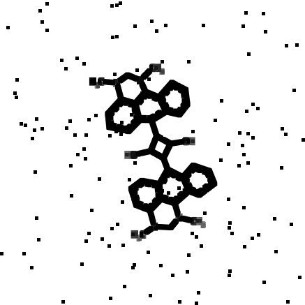 CN1CN(C)c2c3ccccc3c(C3C(O)C(c4c5ccccc5c5c6c(cccc46)N(C)CN5C)C3O)c3cccc1c23